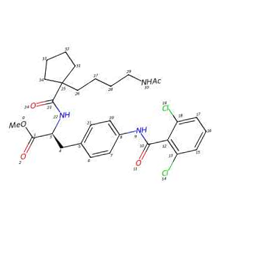 COC(=O)[C@H](Cc1ccc(NC(=O)c2c(Cl)cccc2Cl)cc1)NC(=O)C1(CCCCNC(C)=O)CCCC1